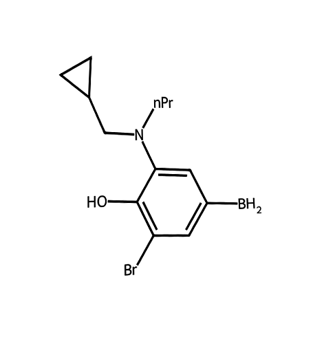 Bc1cc(Br)c(O)c(N(CCC)CC2CC2)c1